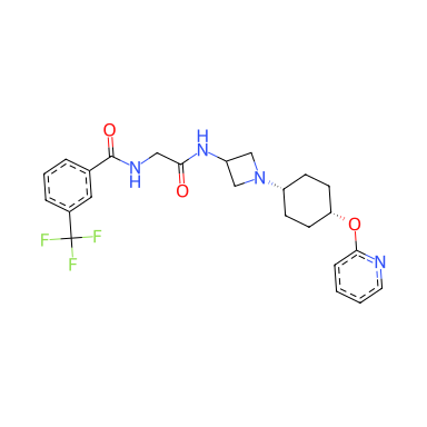 O=C(CNC(=O)c1cccc(C(F)(F)F)c1)NC1CN([C@H]2CC[C@@H](Oc3ccccn3)CC2)C1